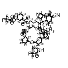 Cn1cncc1C(C)(NCCCNS(=O)(=O)c1cccc(O)c1)c1ccc(C#N)c(F)c1.Cn1cncc1C1(C)NCCCNS(=O)(=O)c2cccc(c2)Oc2cc1ccc2C#N.O=C(O)C(F)(F)F.O=C(O)C(F)(F)F